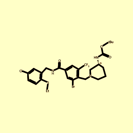 CCSc1ccc(Cl)cc1CNC(=O)c1cc(Br)c(CN2CCC[C@@H](NC(=O)OC(C)(C)C)C2)c(C(F)(F)F)c1